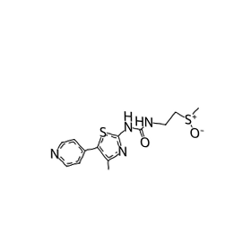 Cc1nc(NC(=O)NCC[S+](C)[O-])sc1-c1ccncc1